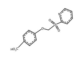 O=C(O)c1ccc(OCS(=O)(=O)c2ccccn2)cc1